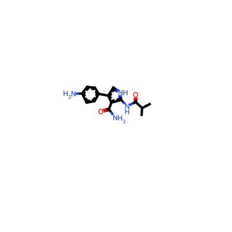 CC(C)C(=O)Nc1[nH]cc(-c2ccc(N)cc2)c1C(N)=O